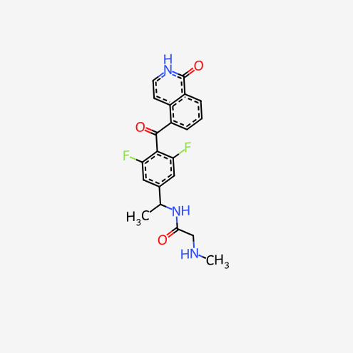 CNCC(=O)NC(C)c1cc(F)c(C(=O)c2cccc3c(=O)[nH]ccc23)c(F)c1